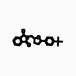 CC(C)(C)c1ccc(C2CCC(CN3C(=O)c4ccccc4C3=O)O2)cc1